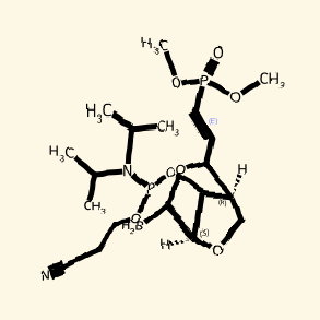 BC1OC(/C=C/P(=O)(OC)OC)[C@H]2CO[C@@H]1C2OP(OCCC#N)N(C(C)C)C(C)C